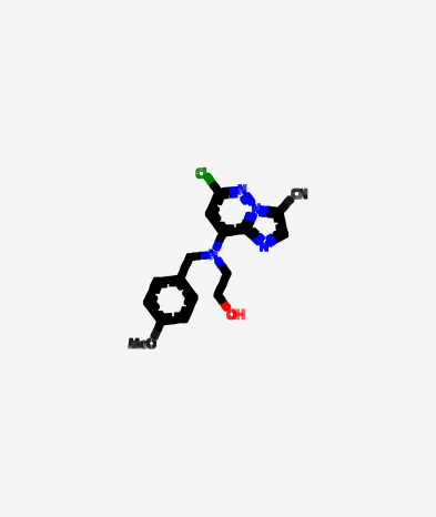 COc1ccc(CN(CCO)c2cc(Cl)nn3c(C#N)cnc23)cc1